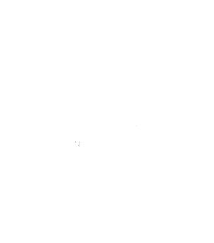 CC(CCCCN(C)C)CCC(C)(C)C